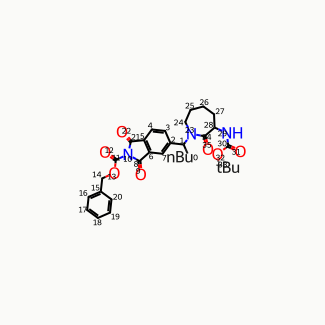 CCCCC(c1ccc2c(c1)C(=O)N(C(=O)OCc1ccccc1)C2=O)N1CCCCC(NC(=O)OC(C)(C)C)C1=O